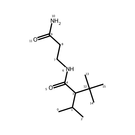 CC(C)C(C(=O)NCCC(N)=O)C(C)(C)C